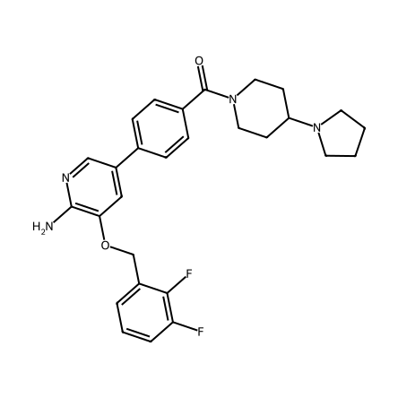 Nc1ncc(-c2ccc(C(=O)N3CCC(N4CCCC4)CC3)cc2)cc1OCc1cccc(F)c1F